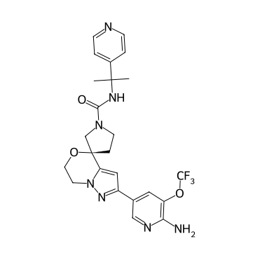 CC(C)(NC(=O)N1CC[C@]2(C1)OCCn1nc(-c3cnc(N)c(OC(F)(F)F)c3)cc12)c1ccncc1